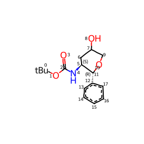 CC(C)(C)OC(=O)N[C@H]1CC(O)CO[C@@H]1c1ccccc1